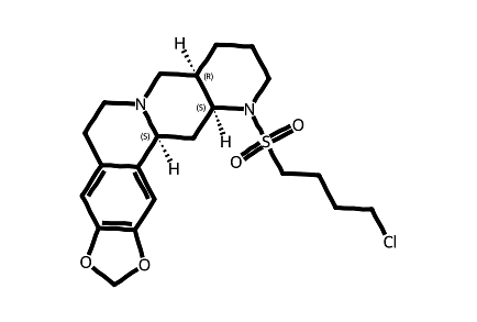 O=S(=O)(CCCCCl)N1CCC[C@@H]2CN3CCc4cc5c(cc4[C@@H]3C[C@@H]21)OCO5